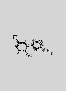 CC(=O)c1ccc(F)cc1-c1noc(C)n1